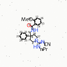 CCCN/C(=N\C#N)N1CCC(CNC(=O)c2ccccc2OC)(c2ccccc2)CC1